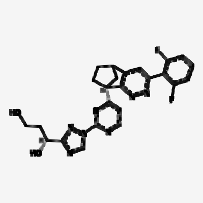 OCC[C@@H](O)c1ncn(-c2nccc([C@]34CCC(C3)c3cc(-c5c(F)cccc5F)nnc34)n2)n1